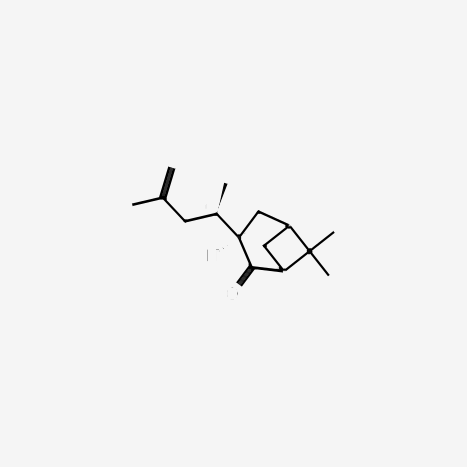 C=C(C)C[C@@H](C)[C@H]1CC2CC(C1=O)C2(C)C